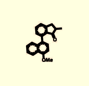 COc1ccc(-c2cccc3c2C(=O)C(C)C3)c2ccccc12